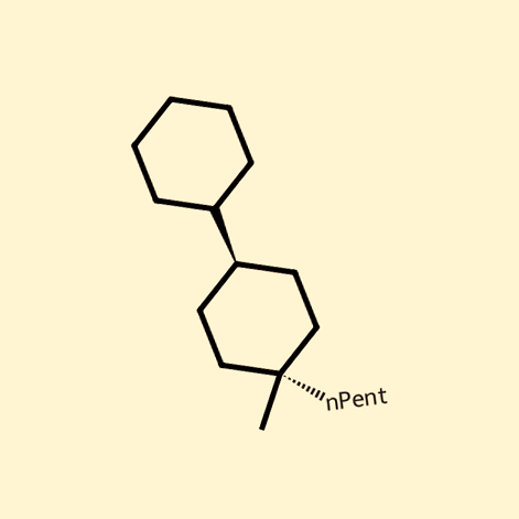 CCCCC[C@]1(C)CC[C@@H](C2CCCCC2)CC1